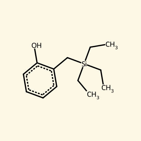 CC[Si](CC)(CC)Cc1ccccc1O